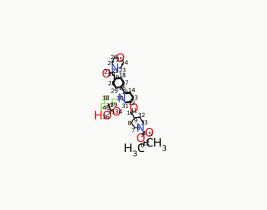 CC(C)OC(=O)N1CCC(COc2ccc(-c3ccc(C(=O)N4CCOCC4)cc3)nc2)CC1.O=C(O)C(F)(F)F